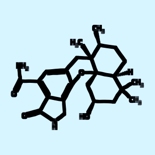 C[C@H]1CC[C@H]2C(C)(C)C[C@@H](O)C[C@]23Oc2c(cc(C(N)=O)c4c2CNC4=O)C[C@]13C